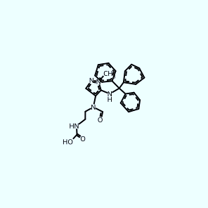 Cn1ncc(N(C=O)CCNC(=O)O)c1NC(c1ccccc1)(c1ccccc1)c1ccccc1